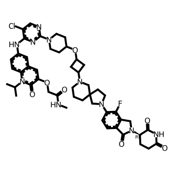 CNC(=O)COc1cc2cc(Nc3nc(N4CCC(OC5CC(N6CCCC7(CCN(c8ccc9c(c8F)CN([C@@H]8CCC(=O)NC8=O)C9=O)C7)C6)C5)CC4)ncc3Cl)ccc2n(C(C)C)c1=O